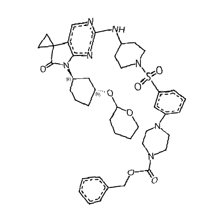 O=C(OCc1ccccc1)N1CCN(c2cccc(S(=O)(=O)N3CCC(Nc4ncc5c(n4)N([C@@H]4CCC[C@@H](OC6CCCCO6)C4)C(=O)C54CC4)CC3)c2)CC1